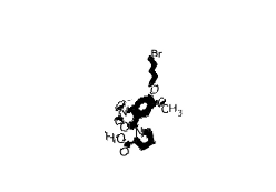 COc1cc(C(=O)N2CCC[C@H]2C(=O)O)c([N+](=O)[O-])cc1OCCCCCBr